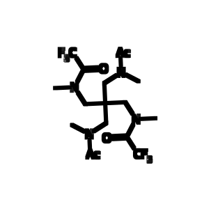 CC(=O)N(C)CC(CN(C)C(C)=O)(CN(C)C(=O)C(F)(F)F)CN(C)C(=O)C(F)(F)F